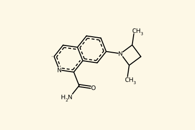 CC1CC(C)N1c1ccc2c[c]nc(C(N)=O)c2c1